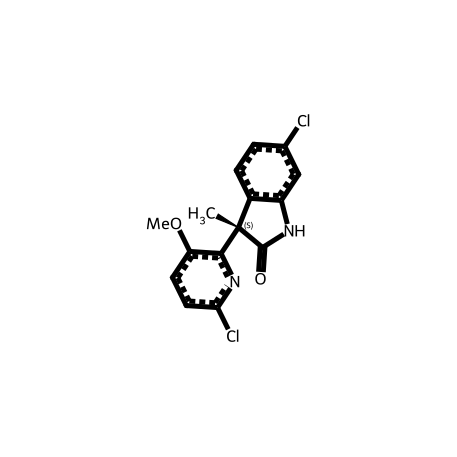 COc1ccc(Cl)nc1[C@@]1(C)C(=O)Nc2cc(Cl)ccc21